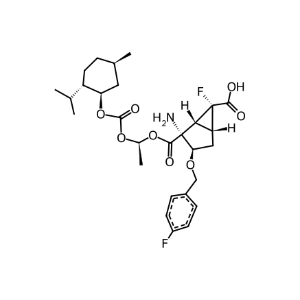 CC(C)[C@@H]1CC[C@@H](C)C[C@H]1OC(=O)O[C@H](C)OC(=O)[C@@]1(N)[C@H]2[C@@H](C[C@H]1OCc1ccc(F)cc1)[C@]2(F)C(=O)O